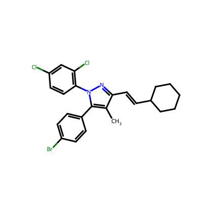 Cc1c(C=CC2CCCCC2)nn(-c2ccc(Cl)cc2Cl)c1-c1ccc(Br)cc1